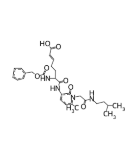 Cc1ccc(NC(=O)C(CCC=CC(=O)O)NC(=O)OCc2ccccc2)c(=O)n1CC(=O)NCCC(C)C